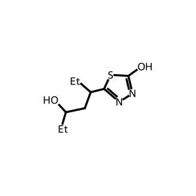 CCC(O)CC(CC)c1nnc(O)s1